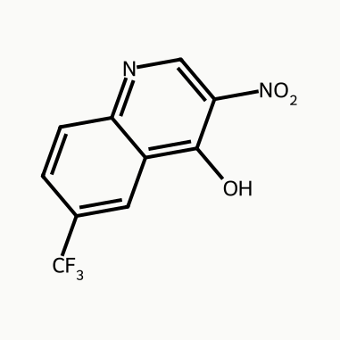 O=[N+]([O-])c1cnc2ccc(C(F)(F)F)cc2c1O